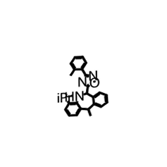 Cc1ccccc1-c1noc(C2Nc3c(C(C)C)cccc3C(C)c3ccccc32)n1